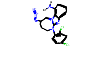 CCN(CC)c1cccc2nc3n(c12)CC(N=[N+]=[N-])CCN3c1ccc(Cl)cc1Cl